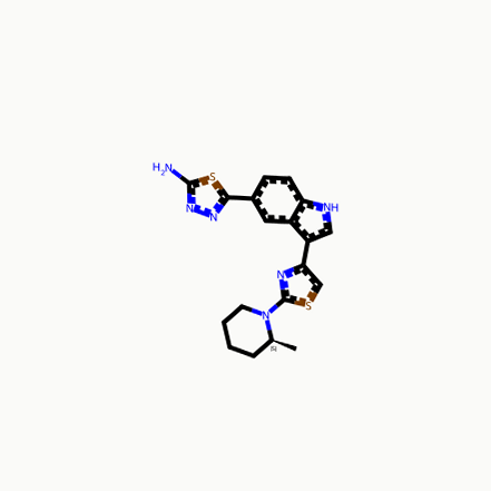 C[C@H]1CCCCN1c1nc(-c2c[nH]c3ccc(-c4nnc(N)s4)cc23)cs1